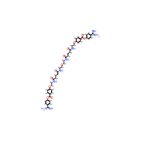 N=C(N)c1ccc(OC(=O)c2ccc(OCCNC(=O)CCCC(=O)NCCOCCNC(=O)CCCC(=O)NCCOc3ccc(C(=O)Oc4ccc(C(=N)N)cc4)cc3)cc2)cc1